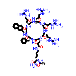 CCC(=O)N[C@@H](CCCCNC(=O)CC[C@@H]1NC(=O)[C@@H](CCCNC(=N)N)NC(=O)[C@H](CCCNC(=N)N)NC(=O)[C@@H](CCCNC(=N)N)NC(=O)[C@H](CCCNC(=N)N)NC(=O)[C@H](Cc2ccc3ccccc3c2)NC(=O)[C@@H](Cc2ccccc2)NC1=O)C(N)=O